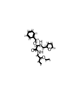 CCOC(CC)CNC(=O)C(NCC1CCCO1)OCc1ccccc1